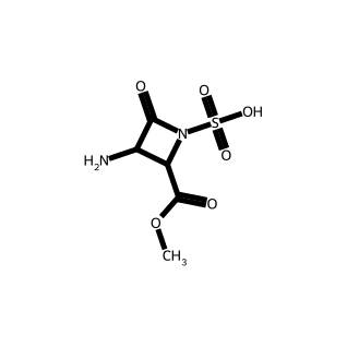 COC(=O)C1C(N)C(=O)N1S(=O)(=O)O